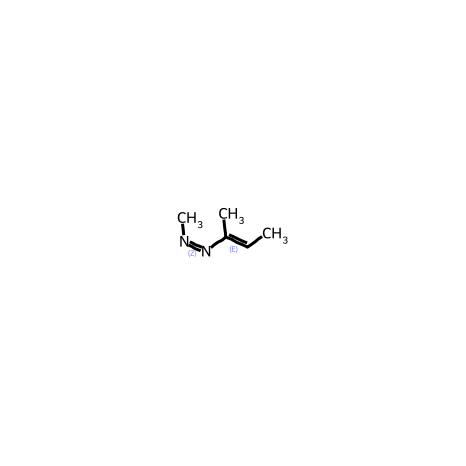 C/C=C(C)/N=N\C